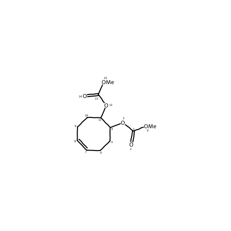 COC(=O)OC1CCC=CCCC1OC(=O)OC